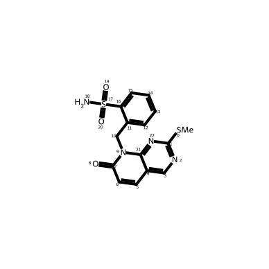 CSc1ncc2ccc(=O)n(Cc3ccccc3S(N)(=O)=O)c2n1